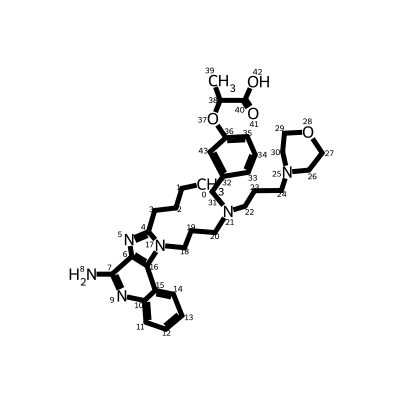 CCCCc1nc2c(N)nc3ccccc3c2n1CCCN(CCCN1CCOCC1)Cc1cccc(OC(C)C(=O)O)c1